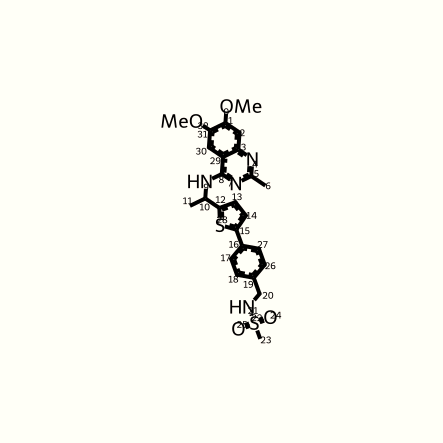 COc1cc2nc(C)nc(NC(C)c3ccc(-c4ccc(CNS(C)(=O)=O)cc4)s3)c2cc1OC